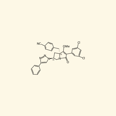 COC1=C(c2cc(Cl)cc(Cl)c2)C(=O)N2C[C@@H](n3cc(-c4ccccc4)nn3)C[C@@]12Cc1ccc(C#N)cc1